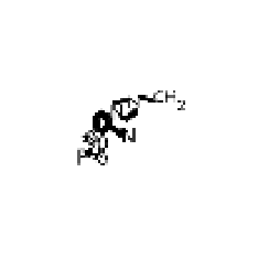 C=CCN1CCN(c2cccc(OS(=O)(=O)C(F)(F)F)c2C#N)CC1